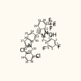 Oc1cc(F)cc(F)c1Cn1nc2c(C(F)(F)F)cccc2c1-c1ccc2ccn(Cc3c(Cl)cccc3Cl)c2c1